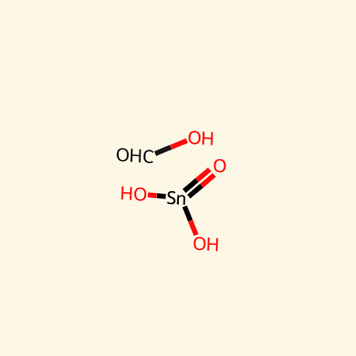 O=CO.[O]=[Sn]([OH])[OH]